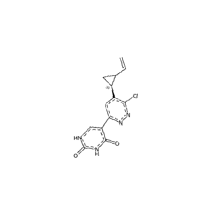 C=CC1C[C@@H]1c1cc(-c2c[nH]c(=O)[nH]c2=O)nnc1Cl